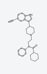 N#Cc1ccc2[nH]cc(C3CCN(CCN(C(=O)C4CCCCC4)c4ccccc4)CC3)c2c1